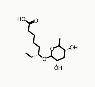 CC[C@H](CCCCC(=O)O)OC1OC(C)[C@H](O)C[C@@H]1O